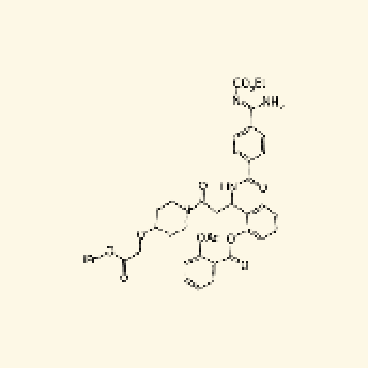 CCOC(=O)N=C(N)c1ccc(C(=O)NC(CC(=O)N2CCC(OCC(=O)OC(C)C)CC2)c2ccccc2OC(=O)c2ccccc2OC(C)=O)cc1